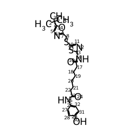 CC(C)(C)c1cnc(CSc2cnc(NC(=O)CCCCCCC(=O)Nc3ccc(O)cc3)s2)o1